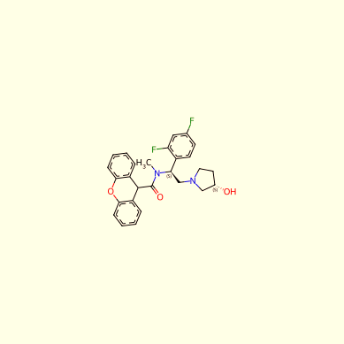 CN(C(=O)C1c2ccccc2Oc2ccccc21)[C@H](CN1CC[C@H](O)C1)c1ccc(F)cc1F